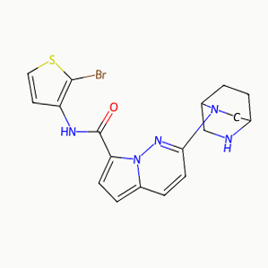 O=C(Nc1ccsc1Br)c1ccc2ccc(N3CC4CCC3CN4)nn12